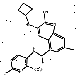 Cc1cc([C@@H](C)Nc2ccc(Cl)nc2C(=O)O)c2nc(NC3CCC3)c(C#N)nc2c1